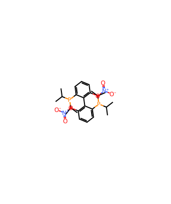 CC(C)P(c1cccc(O[N+](=O)[O-])c1-c1c(O[N+](=O)[O-])cccc1P(C(C)C)C(C)C)C(C)C